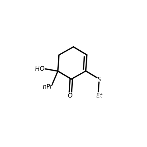 CCCC1(O)CCC=C(SCC)C1=O